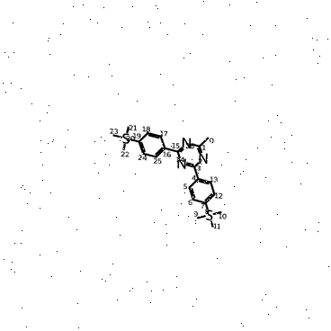 Cc1nc(-c2ccc(S(C)(C)C)cc2)nc(-c2ccc(S(C)(C)C)cc2)n1